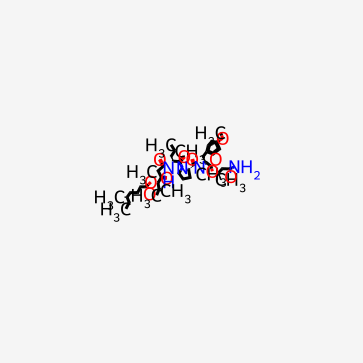 CC[C@H](C)CCCC(=O)OC(C(=O)[C@H](C)C(=O)N[C@@H](CC(C)C)C(=O)N1CCC[C@H]1C(=O)N(C)[C@@H](Cc1ccc(OC)cc1)C(=O)O[C@H](C)CC(N)=O)C(C)C